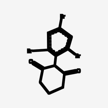 O=C1CCCC(=O)C1c1c(Br)cc(Br)cc1Br